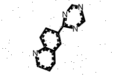 c1cnc2ccc(-c3ncncn3)cc2c1